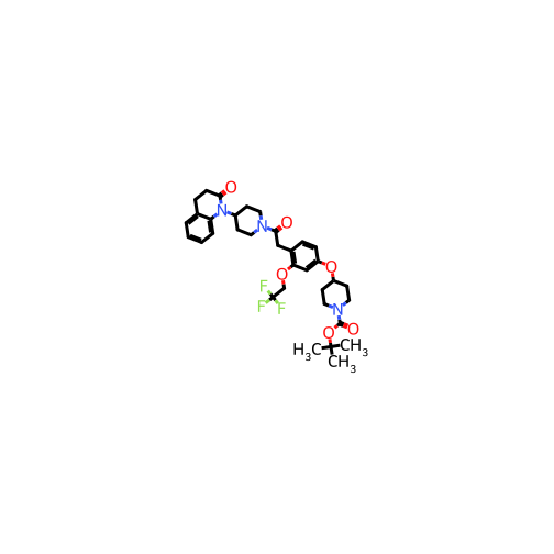 CC(C)(C)OC(=O)N1CCC(Oc2ccc(CC(=O)N3CCC(N4C(=O)CCc5ccccc54)CC3)c(OCC(F)(F)F)c2)CC1